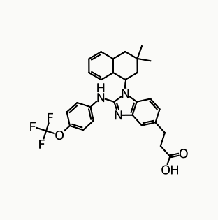 CC1(C)CC2C=CC=CC2[C@H](n2c(Nc3ccc(OC(F)(F)F)cc3)nc3cc(CCC(=O)O)ccc32)C1